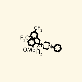 [CH2]C(Cc1cc(C(F)(F)F)cc(C(F)(F)F)c1)(c1ccccc1OC)N1CCN(c2ccccc2)CC1